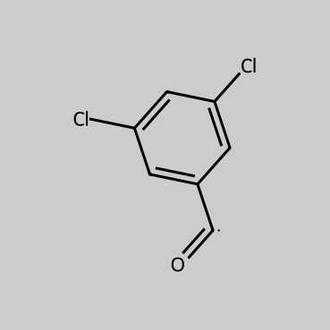 O=[C]c1cc(Cl)cc(Cl)c1